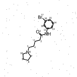 O=C(CCCCN1CCCC1)Nc1cccc(Br)c1